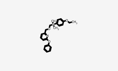 CCOc1ccc([Si](C)(C)COCc2cccc(Oc3ccccc3)n2)cc1